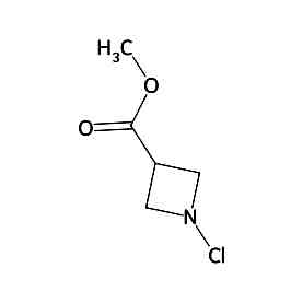 COC(=O)C1CN(Cl)C1